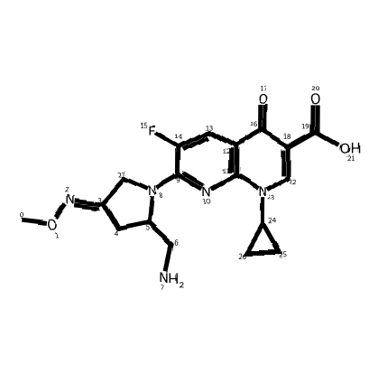 CO/N=C1\CC(CN)N(c2nc3c(cc2F)c(=O)c(C(=O)O)cn3C2CC2)C1